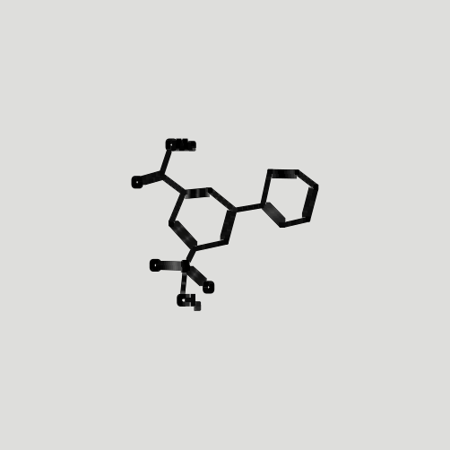 COC(=O)c1cc(-c2ccccc2)cc(S(C)(=O)=O)c1